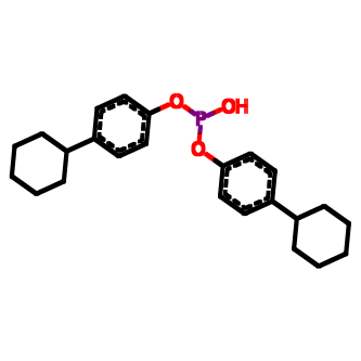 OP(Oc1ccc(C2CCCCC2)cc1)Oc1ccc(C2CCCCC2)cc1